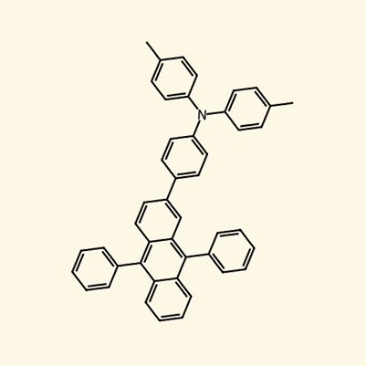 Cc1ccc(N(c2ccc(C)cc2)c2ccc(-c3ccc4c(-c5ccccc5)c5ccccc5c(-c5ccccc5)c4c3)cc2)cc1